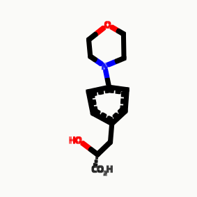 O=C(O)[C@H](O)Cc1ccc(N2CCOCC2)cc1